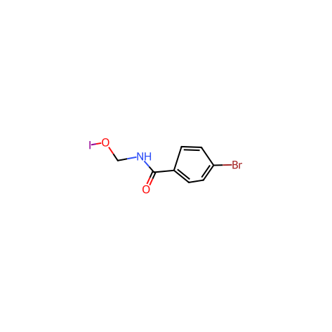 O=C(NCOI)c1ccc(Br)cc1